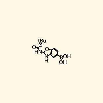 CC(C)(C)OC(=O)NC1Nc2cc(B(O)O)ccc2O1